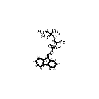 C=CC(C)(C)OC[C@H](NC(=O)OCC1c2ccccc2-c2ccccc21)C(C)=O